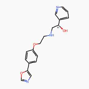 O[C@@H](CNCCOc1ccc(-c2cnco2)cc1)c1cccnc1